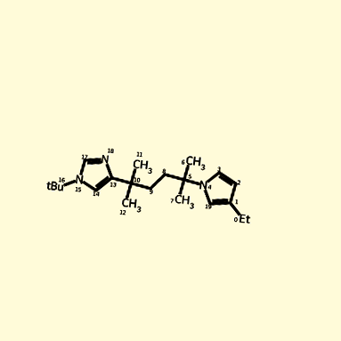 CCc1ccn(C(C)(C)CCC(C)(C)c2cn(C(C)(C)C)cn2)c1